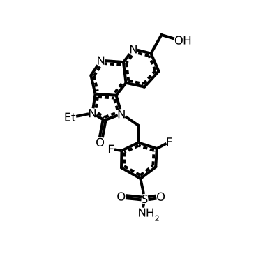 CCn1c(=O)n(Cc2c(F)cc(S(N)(=O)=O)cc2F)c2c3ccc(CO)nc3ncc21